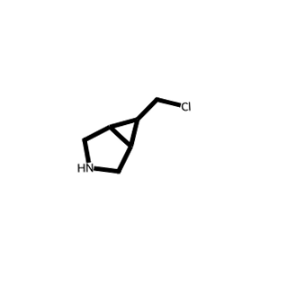 ClCC1C2CNCC12